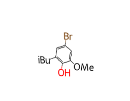 CCC(C)c1cc(Br)cc(OC)c1O